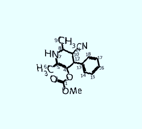 COC(=O)OC1=C(C)NC(C)C(C#N)C1c1ccccc1